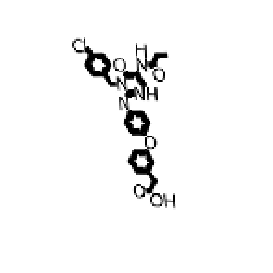 CCC(=O)Nc1c[nH]/c(=N\c2ccc(Oc3cccc(CC(=O)O)c3)cc2)n(Cc2ccc(Cl)cc2)c1=O